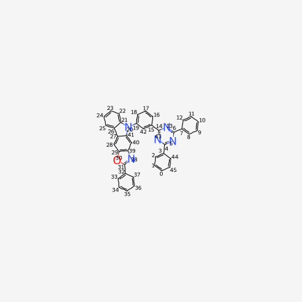 c1ccc(-c2nc(-c3ccccc3)nc(-c3cccc(-n4c5ccccc5c5cc6oc(-c7ccccc7)nc6cc54)c3)n2)cc1